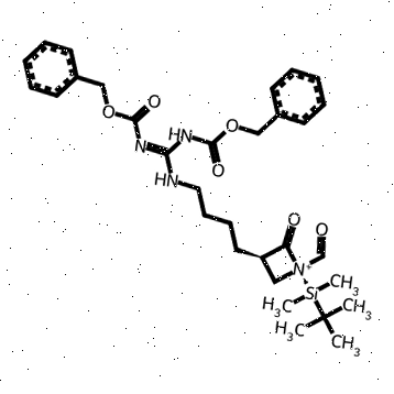 CC(C)(C)[Si](C)(C)[N@+]1(C=O)C[C@@H](CCCCNC(=NC(=O)OCc2ccccc2)NC(=O)OCc2ccccc2)C1=O